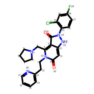 O=c1c2c(CN3CCCC3)n(CCc3ccccn3)c(=O)cc2[nH]n1-c1ccc(F)cc1Cl